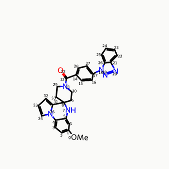 COc1ccc2c(c1)NC1(CCN(C(=O)c3ccc(-n4nnc5ccccc54)cc3)CC1)c1cccn1-2